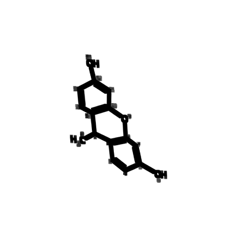 CC1c2ccc(O)cc2Oc2cc(O)ccc21